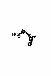 CCCc1cc(Oc2ccccc2)ccc1OCCCNc1cccc(CCC(=O)O)c1